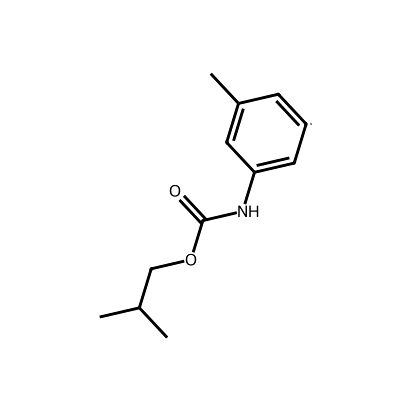 Cc1c[c]cc(NC(=O)OCC(C)C)c1